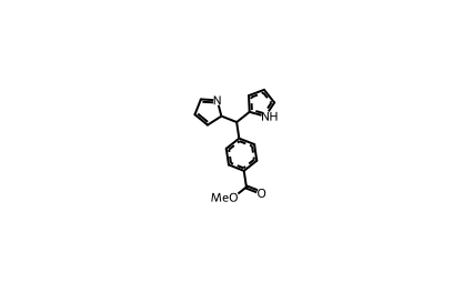 COC(=O)c1ccc(C(c2ccc[nH]2)C2C=CC=N2)cc1